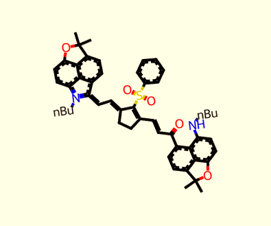 CCCCNc1ccc2c3c(ccc(C(=O)/C=C/C4=C(S(=O)(=O)c5ccccc5)C(=C/C=c5\c6ccc7c8c(ccc(c86)n5CCCC)OC7(C)C)/CC4)c13)C(C)(C)O2